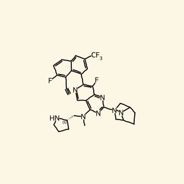 C#Cc1c(F)ccc2cc(C(F)(F)F)cc(-c3ncc4c(N(C)C[C@@H]5CCCN5)nc(N5CC6CCC(C5)N6C)nc4c3F)c12